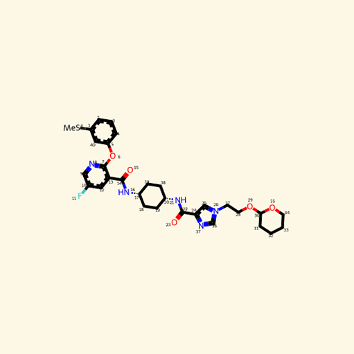 CSc1cccc(Oc2ncc(F)cc2C(=O)N[C@H]2CC[C@@H](NC(=O)c3cn(CCOC4CCCCO4)cn3)CC2)c1